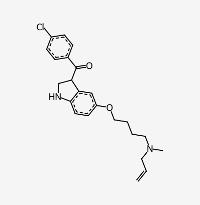 C=CCN(C)CCCCOc1ccc2c(c1)C(C(=O)c1ccc(Cl)cc1)CN2